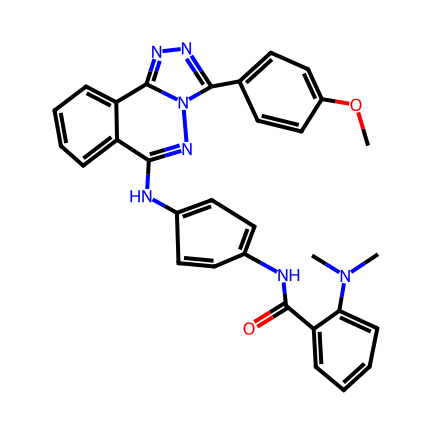 COc1ccc(-c2nnc3c4ccccc4c(Nc4ccc(NC(=O)c5ccccc5N(C)C)cc4)nn23)cc1